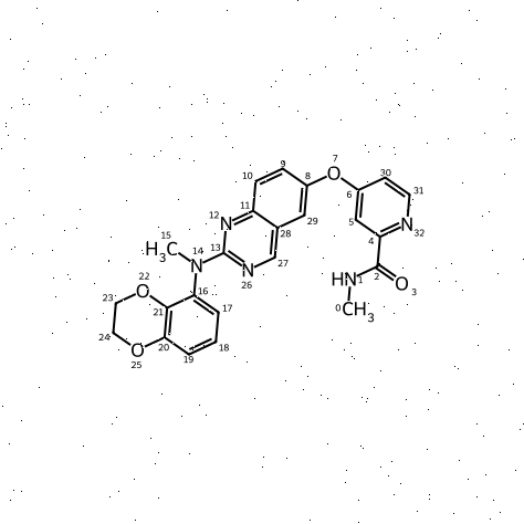 CNC(=O)c1cc(Oc2ccc3nc(N(C)c4cccc5c4OCCO5)ncc3c2)ccn1